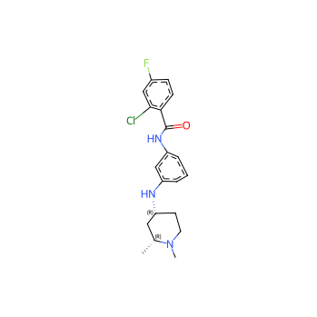 C[C@@H]1C[C@H](Nc2cccc(NC(=O)c3ccc(F)cc3Cl)c2)CCN1C